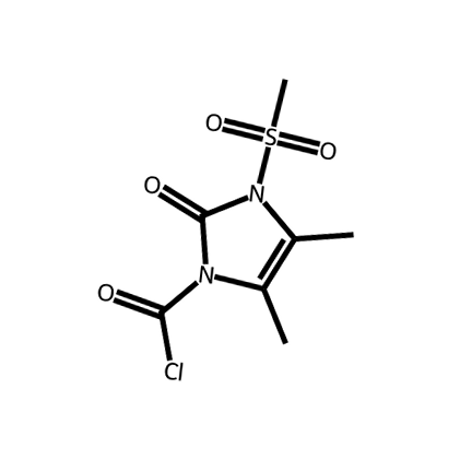 Cc1c(C)n(S(C)(=O)=O)c(=O)n1C(=O)Cl